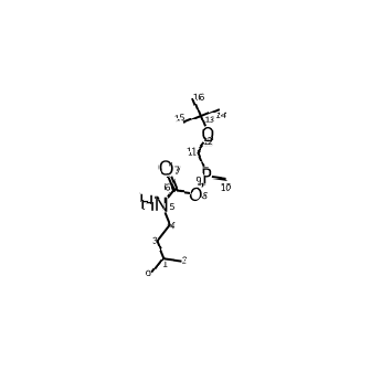 CC(C)CCNC(=O)OP(C)COC(C)(C)C